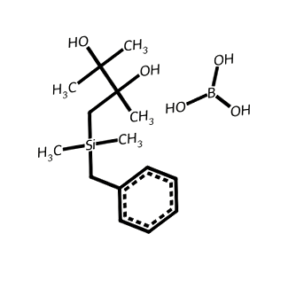 CC(C)(O)C(C)(O)C[Si](C)(C)Cc1ccccc1.OB(O)O